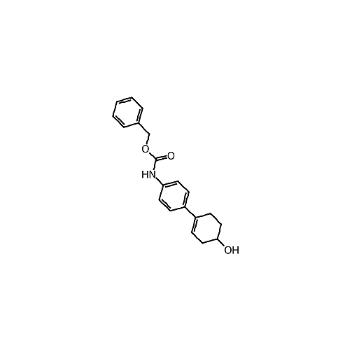 O=C(Nc1ccc(C2=CCC(O)CC2)cc1)OCc1ccccc1